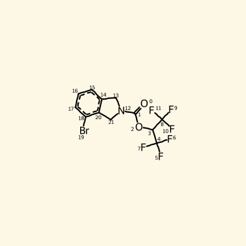 O=C(OC(C(F)(F)F)C(F)(F)F)N1Cc2cccc(Br)c2C1